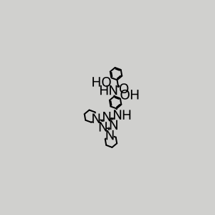 O=C(Nc1ccc(Nc2nc(N3CCCCC3)nc(N3CCCCC3)n2)cc1O)c1ccccc1O